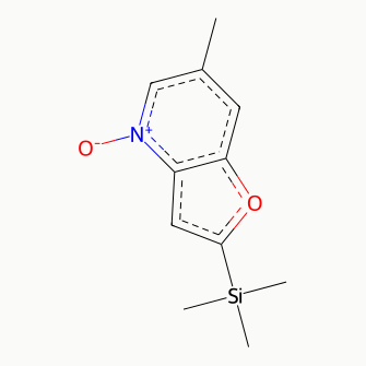 Cc1cc2oc([Si](C)(C)C)cc2[n+]([O-])c1